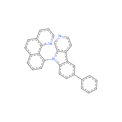 c1ccc(-c2ccc3c(c2)c2ccncc2n3-c2cccc3ccc4cccnc4c23)cc1